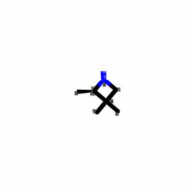 C[C@@H]1NCC1(C)C